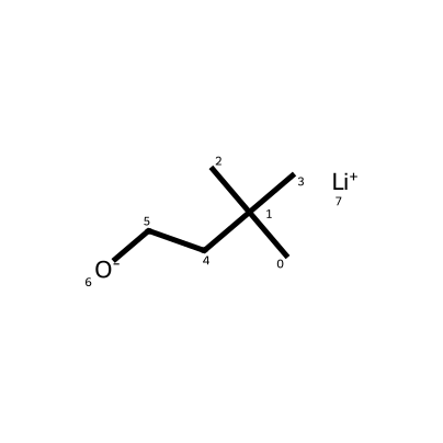 CC(C)(C)CC[O-].[Li+]